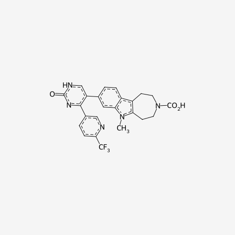 Cn1c2c(c3ccc(-c4c[nH]c(=O)nc4-c4ccc(C(F)(F)F)nc4)cc31)CCN(C(=O)O)CC2